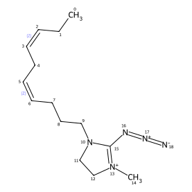 CC/C=C\C/C=C\CCCN1CC[N+](C)=C1N=[N+]=[N-]